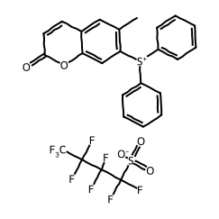 Cc1cc2ccc(=O)oc2cc1[S+](c1ccccc1)c1ccccc1.O=S(=O)([O-])C(F)(F)C(F)(F)C(F)(F)C(F)(F)F